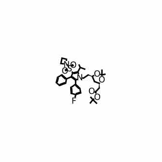 CC(C)c1c(S(=O)(=O)N2CCC2)c(-c2ccccc2)c(-c2ccc(F)cc2)n1CC[C@@H]1C[C@H](CC(=O)OC(C)(C)C)OC(C)(C)O1